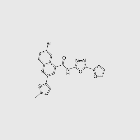 Cc1ccc(-c2cc(C(=O)Nc3nnc(-c4ccco4)o3)c3cc(Br)ccc3n2)s1